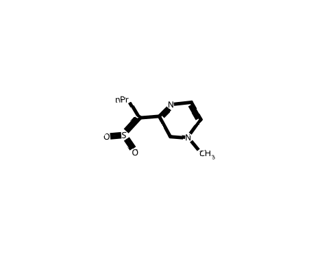 CCCC(C1=NC=CN(C)C1)=S(=O)=O